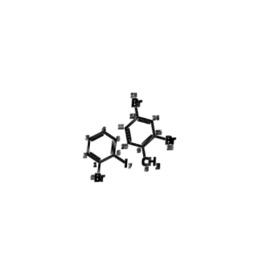 Brc1ccccc1I.Cc1ccc(Br)cc1Br